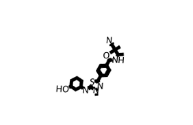 CC(NC(=O)c1ccc(-c2nn(C)c(=NC3CCCC(O)C3)s2)cc1)C(C)(C)C#N